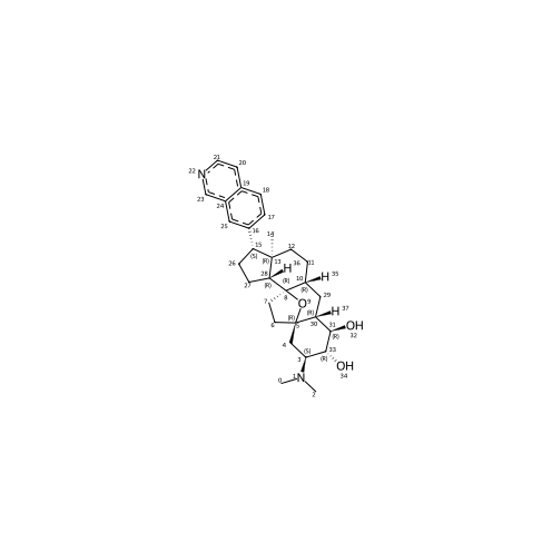 CN(C)[C@H]1C[C@@]23CC[C@@]4(O2)[C@H](CC[C@]2(C)[C@@H](c5ccc6ccncc6c5)CC[C@H]24)C[C@@H]3[C@@H](O)[C@@H]1O